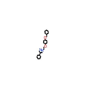 c1ccc(COc2ccc(OCCn3cc(-c4ccccc4)cn3)cc2)cc1